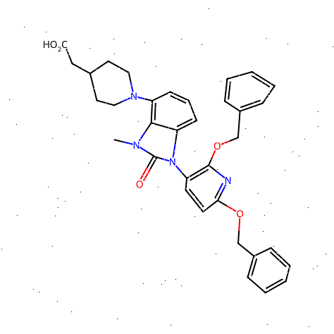 Cn1c(=O)n(-c2ccc(OCc3ccccc3)nc2OCc2ccccc2)c2cccc(N3CCC(CC(=O)O)CC3)c21